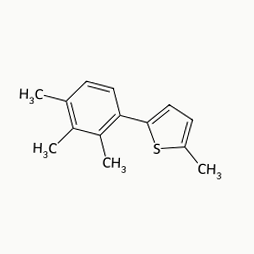 Cc1ccc(-c2ccc(C)c(C)c2C)s1